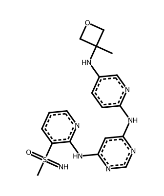 CC1(Nc2ccc(Nc3cc(Nc4ncccc4S(C)(=N)=O)ncn3)nc2)COC1